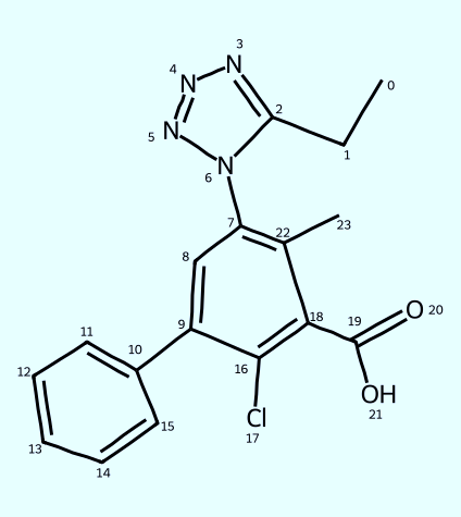 CCc1nnnn1-c1cc(-c2ccccc2)c(Cl)c(C(=O)O)c1C